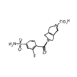 NS(=O)(=O)c1ccc(C(=O)N2CC3=C(CN(C(=O)O)C3)C2)c(F)c1